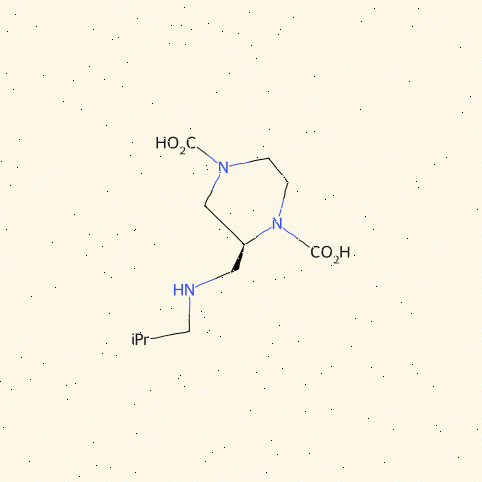 CC(C)CNC[C@H]1CN(C(=O)O)CCN1C(=O)O